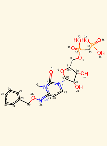 Cn1c(=O)n([C@@H]2O[C@H](COP(=O)(O)CP(=O)(O)O)C(O)C2O)cc/c1=N/OCc1ccccc1